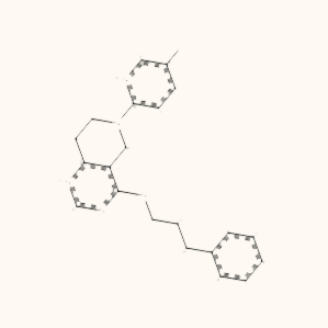 Cc1ccc(N2CCc3ncnc(NCCCc4ccccc4)c3C2)nc1